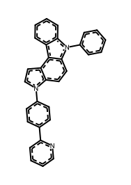 c1ccc(-n2c3ccccc3c3c4ccn(-c5ccc(-c6ccccn6)cc5)c4ccc32)cc1